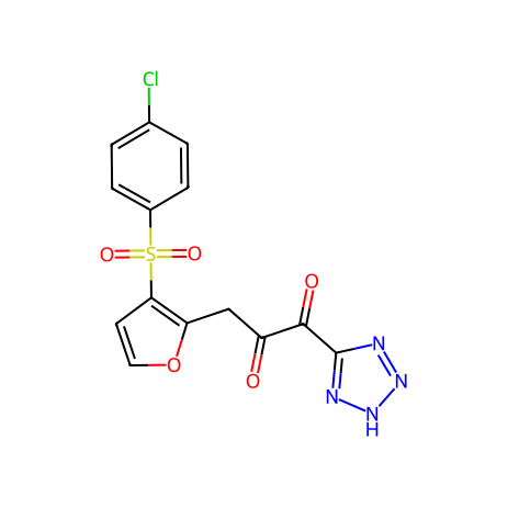 O=C(Cc1occc1S(=O)(=O)c1ccc(Cl)cc1)C(=O)c1nn[nH]n1